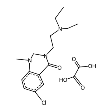 CCN(CC)CCN1CN(C)c2ccc(Cl)cc2C1=O.O=C(O)C(=O)O